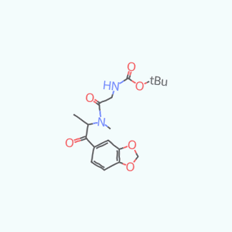 CC(C(=O)c1ccc2c(c1)OCO2)N(C)C(=O)CNC(=O)OC(C)(C)C